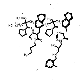 CC(C)(C)C(=O)N1CCC[C@H]1C(=O)N[C@H](Cc1ccc2ccccc2c1)C(=O)NCC(O)CNCc1ccccc1F.COC(C)(C)C(=O)N1CCC[C@H]1C(=O)NC(Cc1ccc2ccccc2c1)C(=O)NCCCN.Cl.Cl